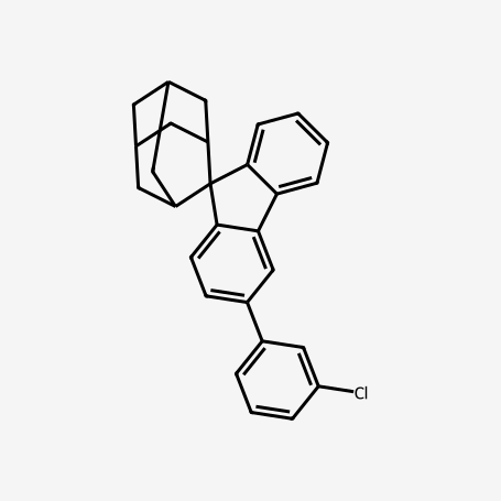 Clc1cccc(-c2ccc3c(c2)-c2ccccc2C32C3CC4CC(C3)CC2C4)c1